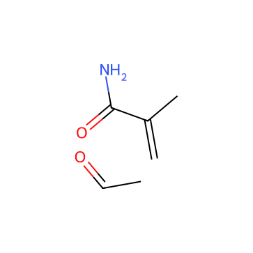 C=C(C)C(N)=O.CC=O